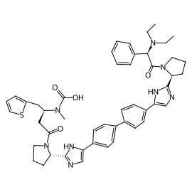 CCN(CC)[C@@H](C(=O)N1CCC[C@H]1c1ncc(-c2ccc(-c3ccc(-c4cnc([C@@H]5CCCN5C(=O)C[C@@H](Cc5cccs5)N(C)C(=O)O)[nH]4)cc3)cc2)[nH]1)c1ccccc1